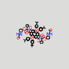 CC(C)c1ccc(Oc2cc3c4c(cc(Oc5ccc(C(C)C)cc5)c5c6c(Oc7ccc(C(C)(C)C)cc7)cc7c8c(cc(Oc9ccc(C(C)C)cc9)c(c2c45)c86)C(=O)N(C(C(=O)OC2CCCC(NCC4CO4)C2)C2CCCC2)C7=O)C(=O)N(C(C(=O)OC2CCCC(NCC4CO4)C2)C2CCCC2)C3=O)cc1